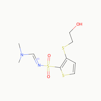 CN(C)/C=N/S(=O)(=O)c1sccc1SCCO